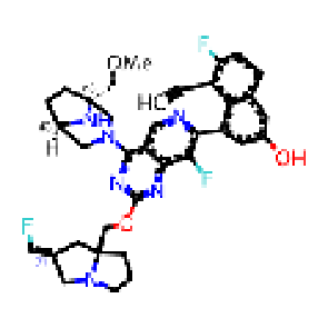 C#Cc1c(F)ccc2cc(O)cc(-c3ncc4c(N5C[C@H]6CC[C@@](COC)(C5)N6)nc(OCC56CCCN5C/C(=C/F)C6)nc4c3F)c12